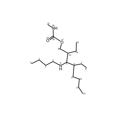 CCCCNC(C(CC)CCCC)C(CC)COC(=O)NC